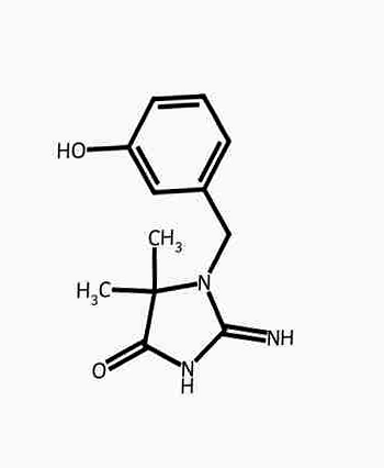 CC1(C)C(=O)NC(=N)N1Cc1cccc(O)c1